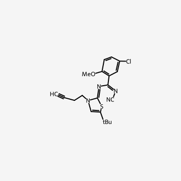 C#CCCn1cc(C(C)(C)C)sc1=NC(=NC#N)c1cc(Cl)ccc1OC